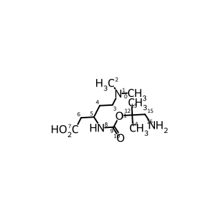 CN(C)CCC(CC(=O)O)NC(=O)OC(C)(C)CN